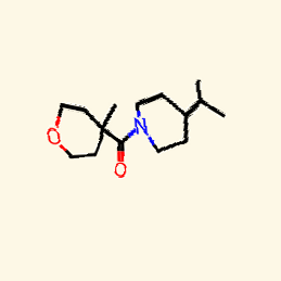 CC(C)C1CCN(C(=O)C2(C)CCOCC2)CC1